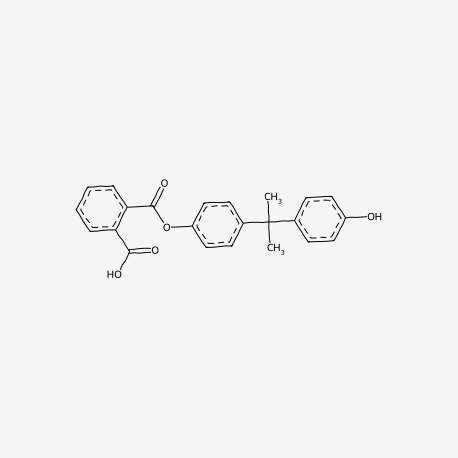 CC(C)(c1ccc(O)cc1)c1ccc(OC(=O)c2ccccc2C(=O)O)cc1